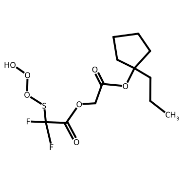 CCCC1(OC(=O)COC(=O)C(F)(F)SOOO)CCCC1